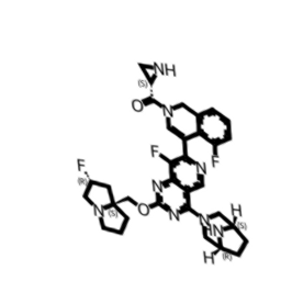 O=C([C@@H]1CN1)N1C=C(c2ncc3c(N4C[C@H]5CC[C@@H](C4)N5)nc(OC[C@@]45CCCN4C[C@H](F)C5)nc3c2F)c2c(F)cccc2C1